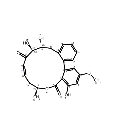 COc1cc(O)c2c(c1)-c1ccccc1C[C@@H](O)[C@H](O)C(=O)/C=C\C[C@H](C)OC2=O